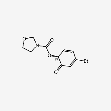 CCC1=CC(=O)[C@@H](OC(=O)N2CCOC2)C=C1